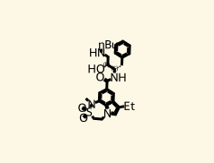 CCCCNC[C@@H](O)[C@H](Cc1ccccc1)NC(=O)c1cc2c3c(c1)c(CC)cn3CCS(=O)(=O)N2C